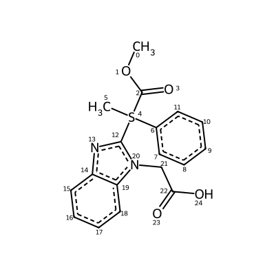 COC(=O)S(C)(c1ccccc1)c1nc2ccccc2n1CC(=O)O